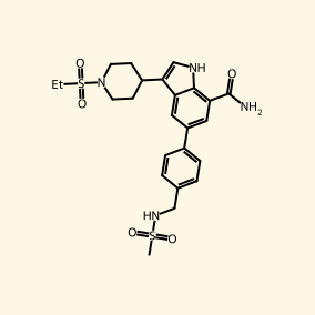 CCS(=O)(=O)N1CCC(c2c[nH]c3c(C(N)=O)cc(-c4ccc(CNS(C)(=O)=O)cc4)cc23)CC1